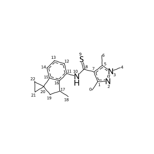 Cc1nn(C)c(C)c1C(=S)Nc1cccc2c1C(C)CC21CC1